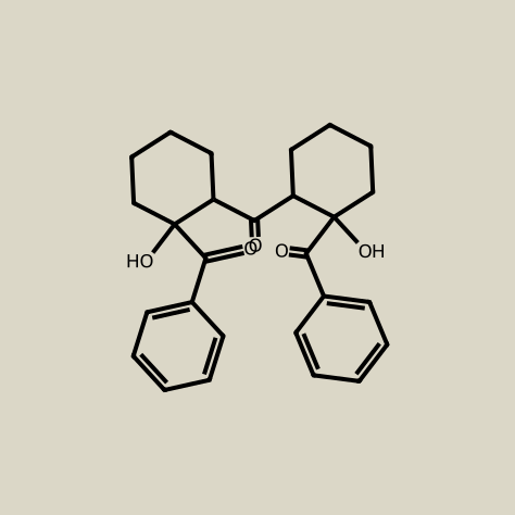 O=C(C1CCCCC1(O)C(=O)c1ccccc1)C1CCCCC1(O)C(=O)c1ccccc1